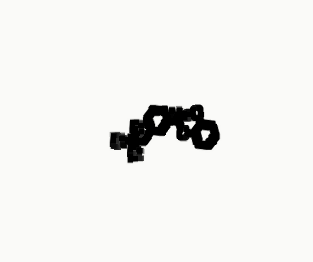 CC[N+](CC)(CC)Cc1cccc(COc2ccccc2OC)c1